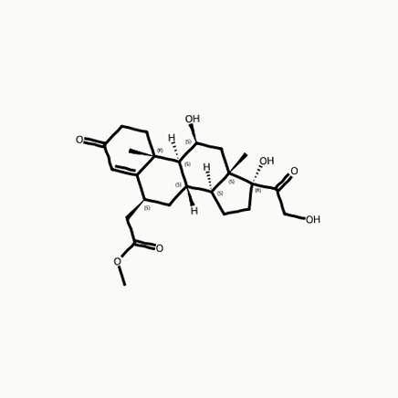 COC(=O)C[C@@H]1C[C@@H]2[C@H]([C@@H](O)C[C@@]3(C)[C@H]2CC[C@]3(O)C(=O)CO)[C@@]2(C)CCC(=O)C=C12